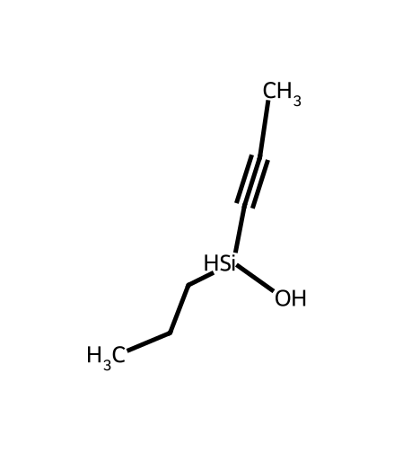 CC#C[SiH](O)CCC